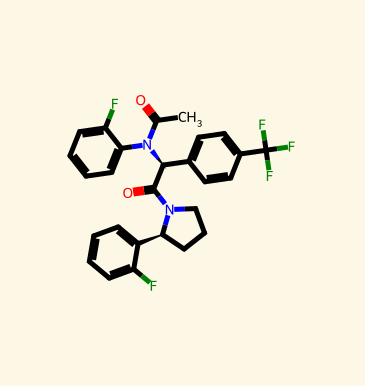 CC(=O)N(c1ccccc1F)[C@H](C(=O)N1CCC[C@H]1c1ccccc1F)c1ccc(C(F)(F)F)cc1